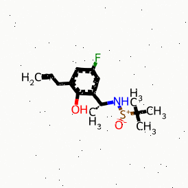 C=CCc1cc(F)cc([C@@H](C)N[S@+]([O-])C(C)(C)C)c1O